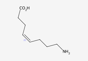 NCCC/C=C\CCC(=O)O